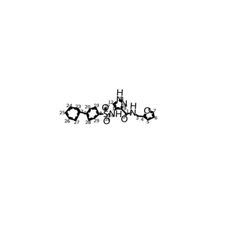 O=C(NCc1ccco1)c1n[nH]cc1NS(=O)(=O)c1ccc(-c2ccccc2)cc1